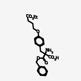 CCOC(=O)CCCOc1ccc(CC(N)(C(=O)O)C(=O)OCc2ccccc2)cc1